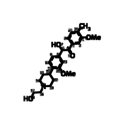 COc1cc(C(=O)C(O)c2ccc(C3CCN(CCO)CC3)c(OC)c2)ccc1C